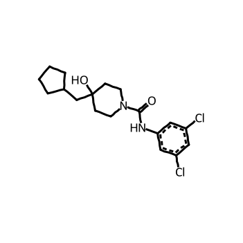 O=C(Nc1cc(Cl)cc(Cl)c1)N1CCC(O)(CC2CCCC2)CC1